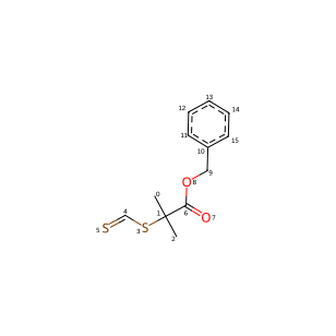 CC(C)(SC=S)C(=O)OCc1ccccc1